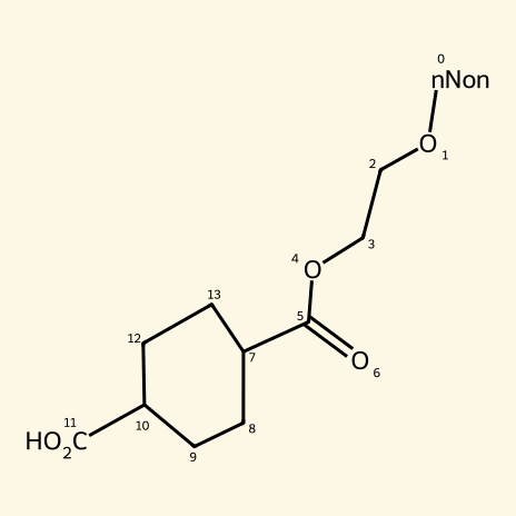 CCCCCCCCCOCCOC(=O)C1CCC(C(=O)O)CC1